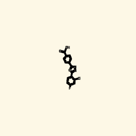 O=C(O)c1ccc(-c2nnc(-c3ccc(F)cc3Cl)o2)cc1